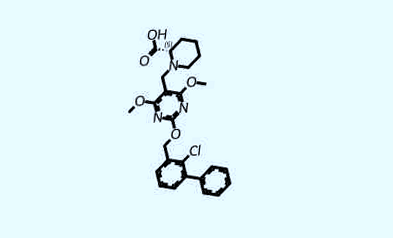 COc1nc(OCc2cccc(-c3ccccc3)c2Cl)nc(OC)c1CN1CCCC[C@H]1C(=O)O